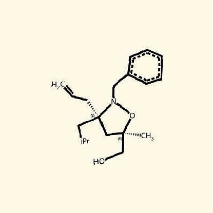 C=CC[C@@]1(CC(C)C)C[C@](C)(CO)ON1Cc1ccccc1